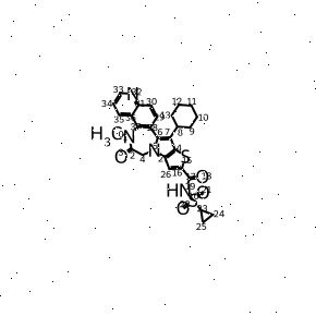 CN1C(=O)Cn2c(c(C3CCCCC3)c3sc(C(=O)NS(=O)(=O)C4CC4)cc32)-c2ccc3ncccc3c21